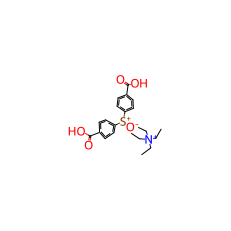 CC[N+](CC)(CC)CC.O=C(O)c1ccc([S+]([O-])c2ccc(C(=O)O)cc2)cc1